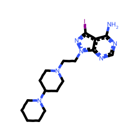 Nc1ncnc2c1c(I)nn2CCN1CCC(N2CCCCC2)CC1